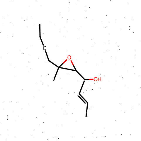 CC=CC(O)C1OC1(C)CCCC